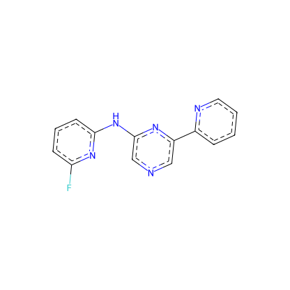 Fc1cccc(Nc2cncc(-c3ccccn3)n2)n1